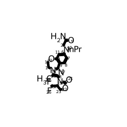 CCCN(CC(N)=O)c1ccc2c(c1)OCCn1c-2nc(N2C(=O)OCC2C(F)F)c1C